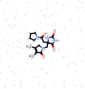 CC1=C(C)C(=O)N(CC2(CC(=O)N3CCCC3)NC(=O)NC2=O)C1